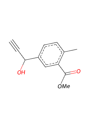 C#CC(O)c1ccc(C)c(C(=O)OC)c1